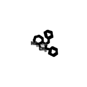 C[C@H]1NCCCC[C@H]1N(Cc1ccccc1)Cc1ccccc1